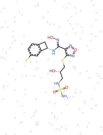 NS(=O)(=O)NC[C@H](O)CSc1nonc1/C(=N/O)N[C@H]1Cc2ccc(F)cc21